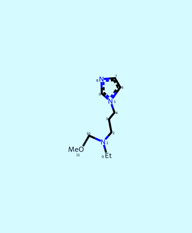 CCN(CCCn1ccnc1)COC